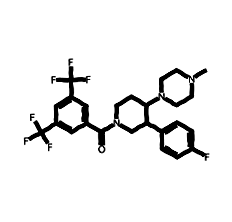 CN1CCN(C2CCN(C(=O)c3cc(C(F)(F)F)cc(C(F)(F)F)c3)CC2c2ccc(F)cc2)CC1